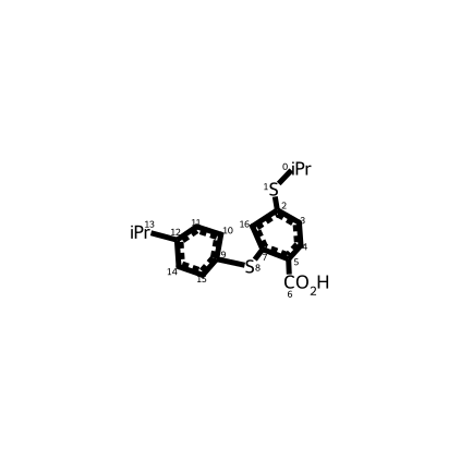 CC(C)Sc1ccc(C(=O)O)c(Sc2ccc(C(C)C)cc2)c1